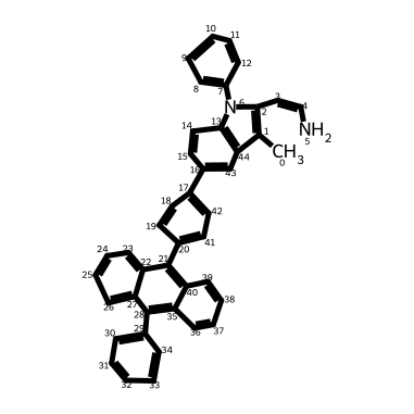 Cc1c(/C=C\N)n(-c2ccccc2)c2ccc(-c3ccc(-c4c5ccccc5c(-c5ccccc5)c5ccccc45)cc3)cc12